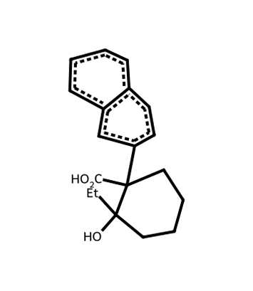 CCC1(O)CCCCC1(C(=O)O)c1ccc2ccccc2c1